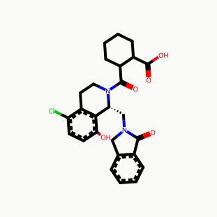 O=C(O)C1CCCCC1C(=O)N1CCc2c(Cl)ccc(O)c2[C@H]1CN1Cc2ccccc2C1=O